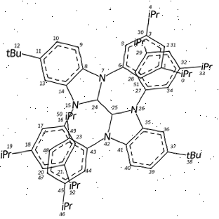 CC(C)c1cc(C(C)C)cc(N2c3ccc(C(C)(C)C)cc3N(c3cc(C(C)C)cc(C(C)C)c3)C2C2N(c3cc(C(C)C)cc(C(C)C)c3)c3cc(C(C)(C)C)ccc3N2c2cc(C(C)C)ccc2C(C)C)c1